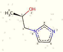 C[C@@H](O)Cn1ccnc1